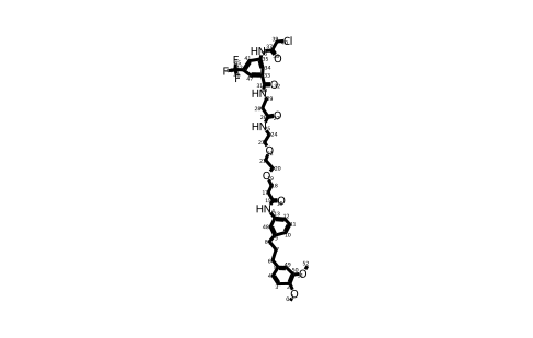 COc1ccc(CC[CH]c2cccc(NC(=O)CCOCCOCCNC(=O)CCNC(=O)c3cc(NC(=O)CCl)cc(C(F)(F)F)c3)c2)cc1OC